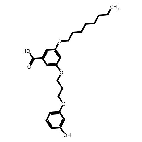 CCCCCCCCOc1cc(OCCCOc2cccc(O)c2)cc(C(=O)O)c1